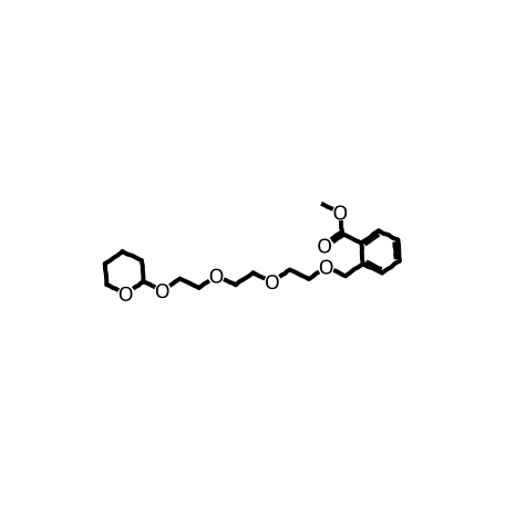 COC(=O)c1ccccc1COCCOCCOCCOC1CCCCO1